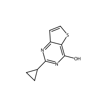 Oc1nc(C2CC2)nc2ccsc12